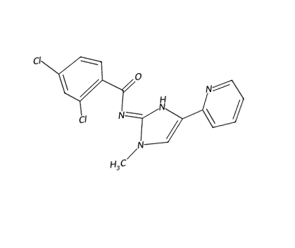 Cn1cc(-c2ccccn2)[nH]/c1=N\C(=O)c1ccc(Cl)cc1Cl